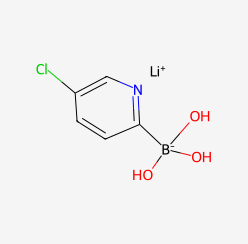 O[B-](O)(O)c1ccc(Cl)cn1.[Li+]